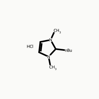 CCCCC1N(C)C=CN1C.Cl